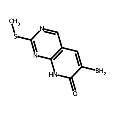 Bc1cc2cnc(SC)nc2[nH]c1=O